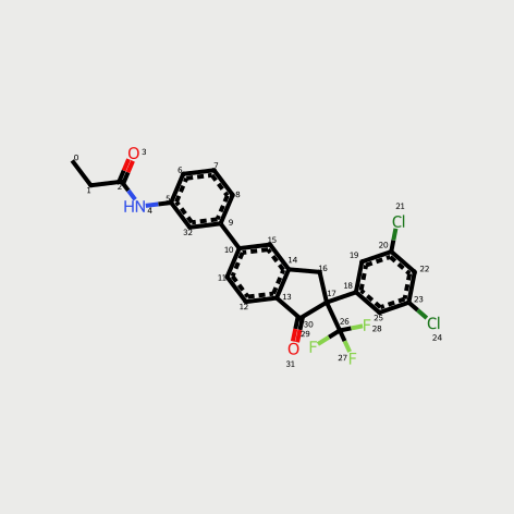 CCC(=O)Nc1cccc(-c2ccc3c(c2)CC(c2cc(Cl)cc(Cl)c2)(C(F)(F)F)C3=O)c1